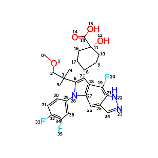 COCC(C)(C)c1c([C@H]2CC[C@](O)(C(=O)O)CC2)c2c(F)c3[nH]ncc3cc2n1-c1ccc(F)c(F)c1